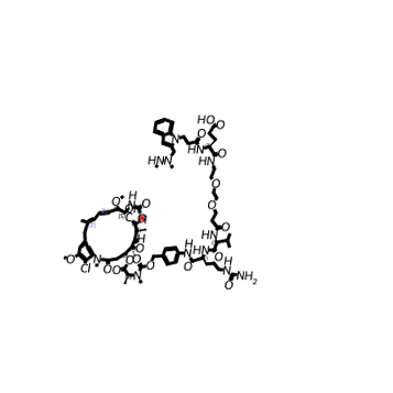 CNN(C)Cc1cc2ccccc2n1CCC(=O)N[C@@H](CCC(=O)O)C(=O)NCCOCCOCCC(=O)N[C@H](C(=O)N[C@@H](CCCNC(N)=O)C(=O)Nc1ccc(COC(=O)N(C)[C@@H](C)C(=O)O[C@H]2CC(=O)N(C)c3cc(cc(OC)c3Cl)C/C(C)=C/C=C/[C@@H](OC)[C@@]3(O)C[C@H](OC(=O)N3)[C@@H](C)[C@@H]3O[C@@]23C)cc1)C(C)C